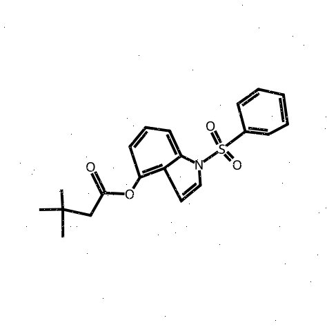 CC(C)(C)CC(=O)Oc1cccc2c1ccn2S(=O)(=O)c1ccccc1